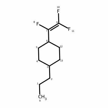 CCCC1CCC(C(F)=C(F)F)CC1